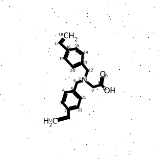 C=Cc1ccc(CN(CC(=O)O)Cc2ccc(C=C)cc2)cc1